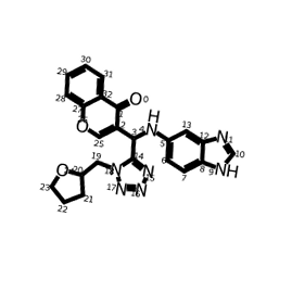 O=c1c(C(Nc2ccc3[nH]cnc3c2)c2nnnn2CC2CCCO2)coc2ccccc12